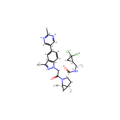 CC(=O)c1nn(CC(=O)N2[C@H](C(=O)N[C@@H](C)[C@H]3CC3(Cl)Cl)C[C@@]3(C)C[C@@H]23)c2ccc(-c3cnc(C)nc3)cc12